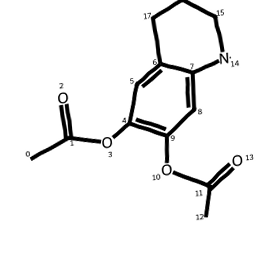 CC(=O)Oc1cc2c(cc1OC(C)=O)[N]CCC2